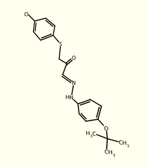 CC(C)(C)Oc1ccc(NN=CC(=O)CSc2ccc(Cl)cc2)cc1